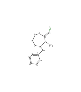 FC(F)(F)C1C(=CCl)CCCCC1Cc1ccccc1